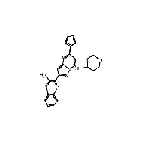 Cc1nc2ccccc2nc1-c1cc2nc(C3=C=CC=C3)cc(NC3CCOCC3)n2n1